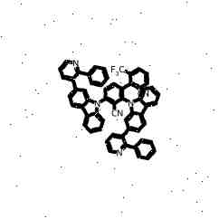 N#Cc1cccc(C(F)(F)F)c1-c1ccc(-n2c3ccccc3c3ccc(-c4cccnc4-c4ccccc4)cc32)c(C#N)c1-n1c2ccccc2c2ccc(-c3cccnc3-c3ccccc3)cc21